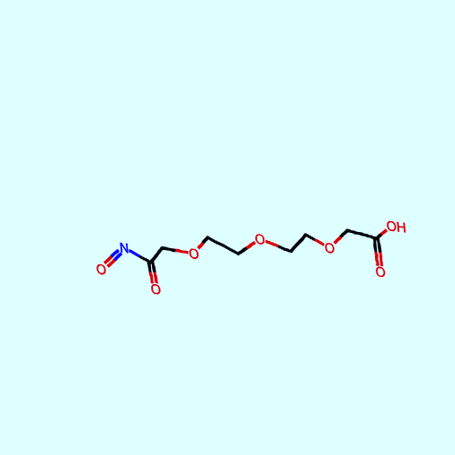 O=NC(=O)COCCOCCOCC(=O)O